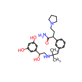 CC(C)(Cc1cccc(C(CCN2CCCC2)C(N)=O)c1)NCC(O)c1cc(O)cc(O)c1